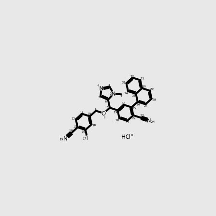 Cl.Cn1cncc1C(OCc1ccc(C#N)c(I)c1)c1ccc(C#N)c(-c2cccc3ccccc23)c1